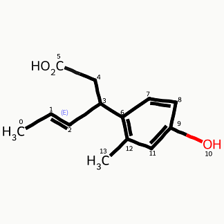 C/C=C/C(CC(=O)O)c1ccc(O)cc1C